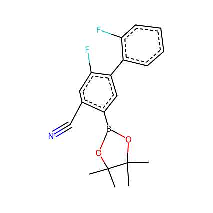 CC1(C)OB(c2cc(-c3ccccc3F)c(F)cc2C#N)OC1(C)C